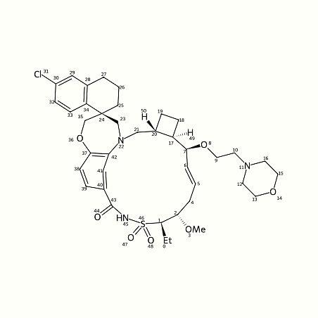 CC[C@@H]1[C@@H](OC)C/C=C/[C@H](OCCN2CCOCC2)[C@@H]2CC[C@H]2CN2C[C@@]3(CCCc4cc(Cl)ccc43)COc3ccc(cc32)C(=O)NS1(=O)=O